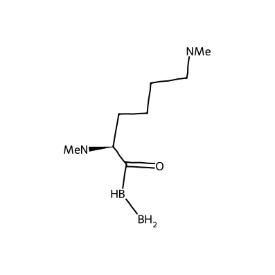 BBC(=O)[C@H](CCCCNC)NC